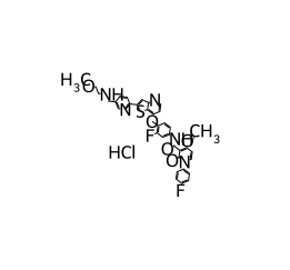 CCOc1ccn(-c2ccc(F)cc2)c(=O)c1C(=O)Nc1ccc(Oc2ccnc3cc(-c4ccc(CNCCOC)cn4)sc23)c(F)c1.Cl